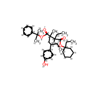 CCC(CC(C)(C(=O)OC(C)(C)c1ccccc1)C(C)(CC)C(=O)OC1(CC)CCCCC1)c1ccc(O)cc1